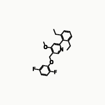 CCc1cccc(CC)c1-c1cc(OC)c(COc2cc(F)ccc2F)cn1